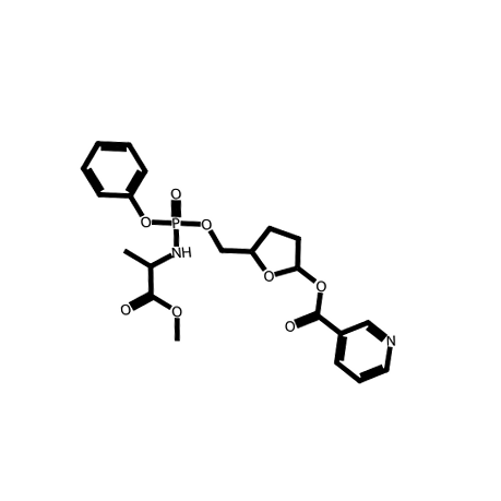 COC(=O)C(C)NP(=O)(OCC1CCC(OC(=O)c2cccnc2)O1)Oc1ccccc1